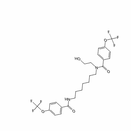 O=C(NCCCCCCCN(CCO)C(=O)c1ccc(OC(F)(F)F)cc1)c1ccc(OC(F)(F)F)cc1